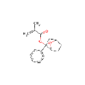 C=C(C)C(=O)OC1(c2ccccc2)CC2CCC1O2